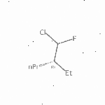 CCC[C@@H](CC)C(F)Cl